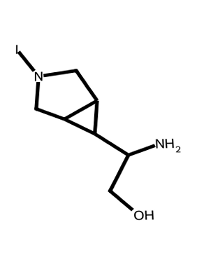 NC(CO)C1C2CN(I)CC21